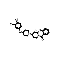 Nc1ccccc1C(=O)N1CCC(N2CCC(Oc3ccc(Cl)c(Cl)c3)CC2)CC1